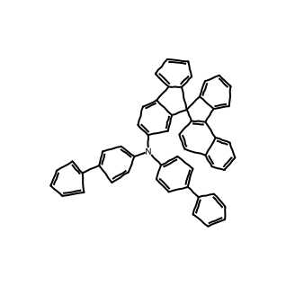 c1ccc(-c2ccc(N(c3ccc(-c4ccccc4)cc3)c3ccc4c(c3)C3(c5ccccc5-4)c4ccccc4-c4c3ccc3ccccc43)cc2)cc1